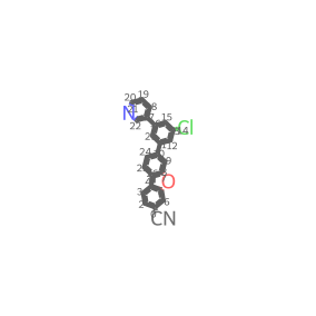 N#Cc1ccc2c(c1)oc1cc(-c3cc(Cl)cc(-c4cccnc4)c3)ccc12